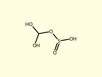 O=S(O)OC(O)O